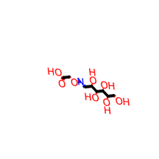 O=C(O)CO/N=C/[C@@H](O)[C@H](O)[C@H](O)[C@H](O)CO